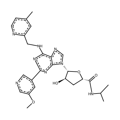 COc1cncc(-c2nc(NCc3cc(C)ccn3)c3ncn([C@@H]4O[C@H](C(=O)NC(C)C)C[C@H]4O)c3n2)c1